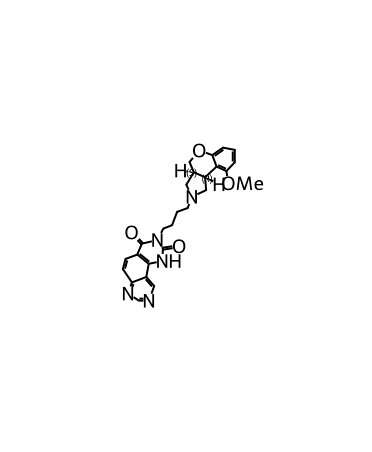 COc1cccc2c1[C@@H]1CN(CCCCn3c(=O)[nH]c4c(ccc5ncncc54)c3=O)C[C@H]1CO2